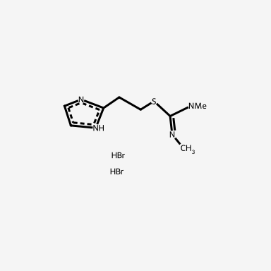 Br.Br.CN=C(NC)SCCc1ncc[nH]1